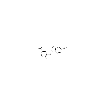 Cc1nn(C(C)c2c(Cl)ccc(C(=O)O)c2Cl)c2ccc(C(F)(F)F)cc12